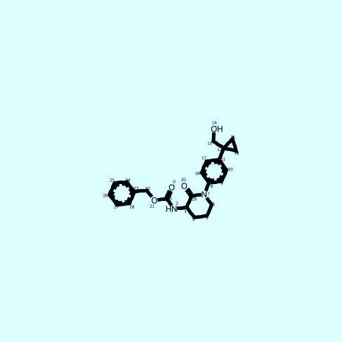 O=C(NC1CCCN(c2ccc(C3(CO)CC3)cc2)C1=O)OCc1ccccc1